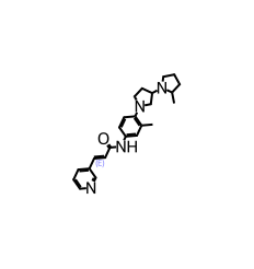 Cc1cc(NC(=O)/C=C/c2cccnc2)ccc1N1CCC(N2CCCC2C)C1